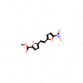 COC(=O)c1ccc(C=Cc2ccc([N+](=O)[O-])o2)o1